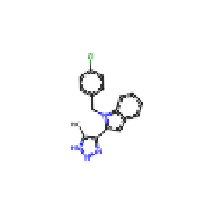 N#Cc1[nH]nnc1-c1cc2ccccc2n1Cc1ccc(Cl)cc1